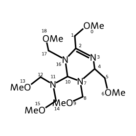 COCC1=NC(COC)N(COC)C(N(COC)COC)N1COC